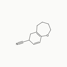 N#CC1C=CC2=C(CCCCO2)C1